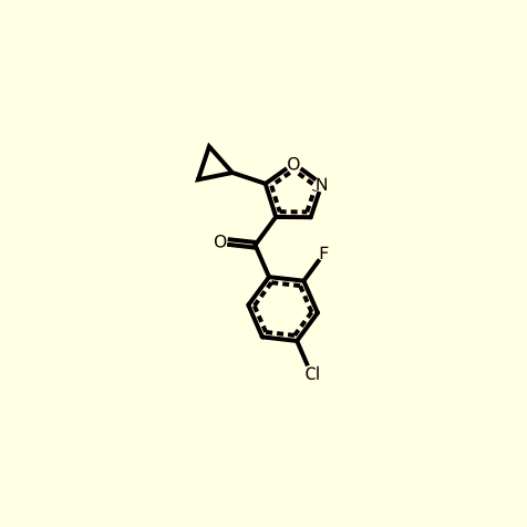 O=C(c1ccc(Cl)cc1F)c1cnoc1C1CC1